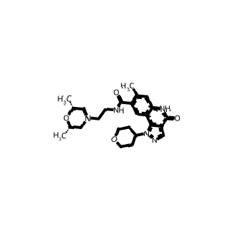 Cc1cc2[nH]c(=O)c3cnn(C4CCOCC4)c3c2cc1C(=O)NCCN1C[C@@H](C)O[C@@H](C)C1